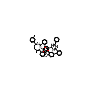 C/C1=C(c2ccccc2)/N=C(c2ccccc2-c2ccc3sc4ccc(-c5ccccc5-c5nc(-c6ccccc6)nc(-c6ccccc6)n5)cc4c3c2)\N=C(\c2cccc(C)c2)CC1